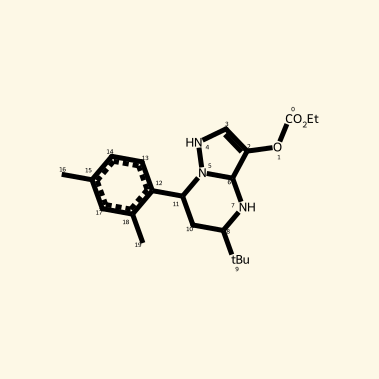 CCOC(=O)OC1=CNN2C1NC(C(C)(C)C)CC2c1ccc(C)cc1C